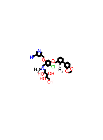 Cc1c(COc2cc(OCc3cncc(C#N)c3)c(CN(C)C[C@H](O)[C@@H](O)[C@@H](O)CO)cc2Cl)cccc1-c1ccc2c(c1)OCCO2